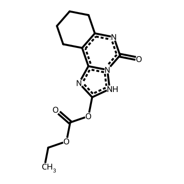 CCOC(=O)Oc1nc2c3c(nc(=O)n2[nH]1)CCCC3